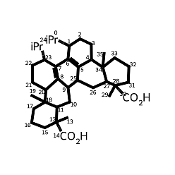 CC(C)C1CCC2C3=C1C1=C4C(CC5C(C)(C(=O)O)CCCC5(C)C4CCC1C(C)C)C3CC1C(C)(C(=O)O)CCCC21C